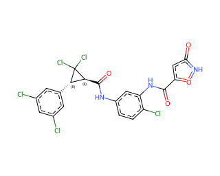 O=C(Nc1cc(NC(=O)[C@H]2[C@H](c3cc(Cl)cc(Cl)c3)C2(Cl)Cl)ccc1Cl)c1cc(=O)[nH]o1